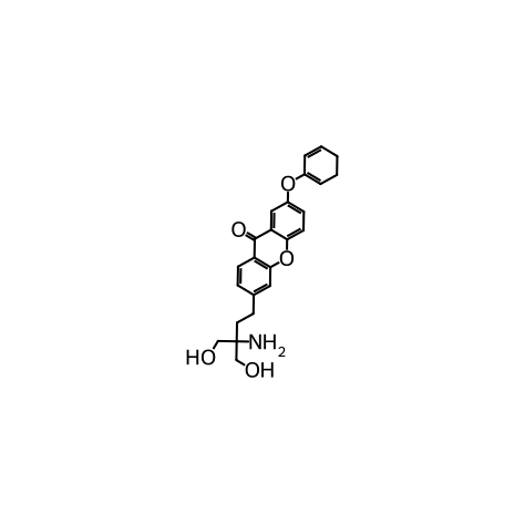 NC(CO)(CO)CCc1ccc2c(=O)c3cc(OC4=CCCC=C4)ccc3oc2c1